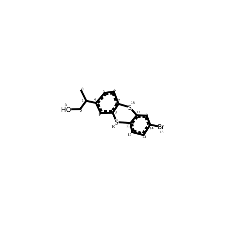 CC(CO)c1ccc2c(c1)Sc1ccc(Br)cc1S2